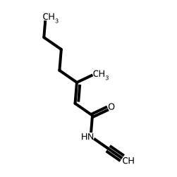 C#CNC(=O)/C=C(\C)CCCC